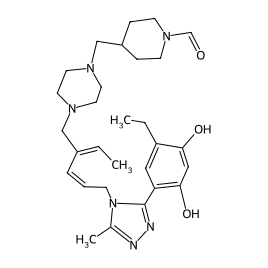 C/C=C(\C=C/Cn1c(C)nnc1-c1cc(CC)c(O)cc1O)CN1CCN(CC2CCN(C=O)CC2)CC1